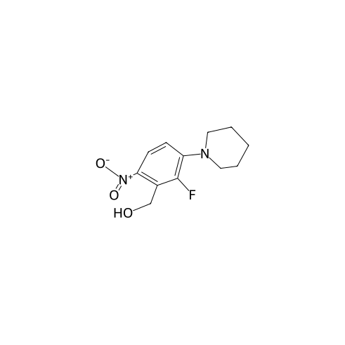 O=[N+]([O-])c1ccc(N2CCCCC2)c(F)c1CO